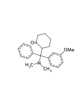 COc1cccc(C(c2ccccc2)(C2CCCCC2=O)N(C)C)c1